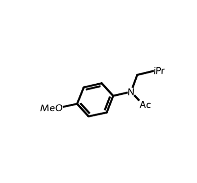 COc1ccc(N(CC(C)C)C(C)=O)cc1